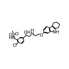 CS(=O)(=O)Nc1cc(C(O)CNCCOc2ccc3c4c([nH]c3c2)CCCC4)ccc1Cl